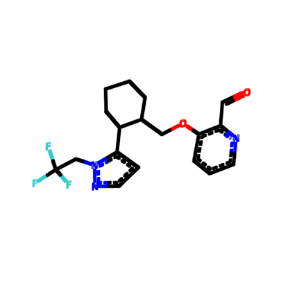 O=Cc1ncccc1OCC1CCCCC1c1ccnn1CC(F)(F)F